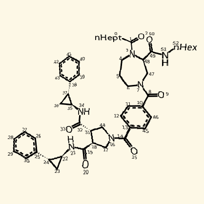 CCCCCCCC(=O)N1CCCN(C(=O)c2ccc(C(=O)N3C[C@@H](C(=O)N[C@H]4C[C@@H]4c4ccccc4)[C@H](C(=O)N[C@H]4C[C@@H]4c4ccccc4)C3)cc2)CC1C(=O)NCCCCCC